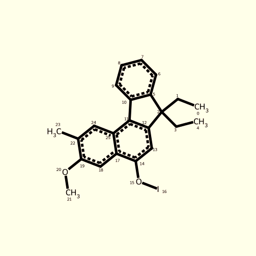 CCC1(CC)c2ccccc2-c2c1cc(OI)c1cc(OC)c(C)cc21